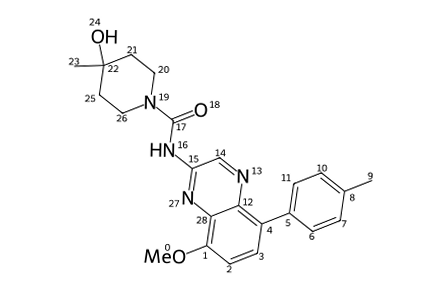 COc1ccc(-c2ccc(C)cc2)c2ncc(NC(=O)N3CCC(C)(O)CC3)nc12